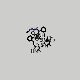 C=C/C=C\C=C(/C)C(c1ccccc1)[C@H](NC(=O)OC)C(=O)Nc1ccccc1CC[C@@H]1CN[C@H](C)[C@@H](CSc2nc(C)cc(C(F)(F)F)n2)O1